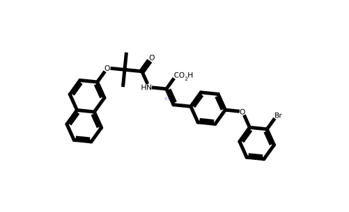 CC(C)(Oc1ccc2ccccc2c1)C(=O)N/C(=C/c1ccc(Oc2ccccc2Br)cc1)C(=O)O